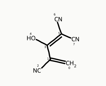 C=C(C#N)C(O)=C(C#N)C#N